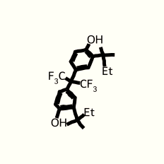 CCC(C)(C)c1cc(C(c2ccc(O)c(C(C)(C)CC)c2)(C(F)(F)F)C(F)(F)F)ccc1O